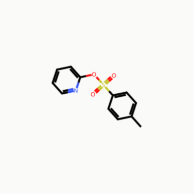 Cc1ccc(S(=O)(=O)Oc2ccccn2)cc1